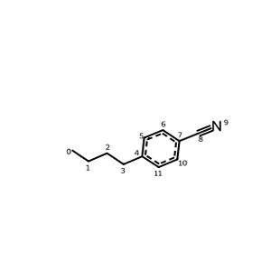 CCCCc1[c]cc(C#N)cc1